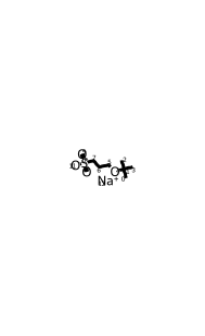 CC(C)(C)OCCCS(=O)(=O)[O-].[Na+]